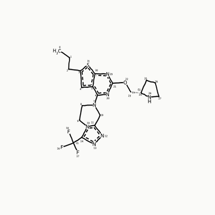 CCCc1cc2c(N3CCn4c(nnc4C(F)(F)F)C3)nc(OC[C@@H]3CCCN3)nc2s1